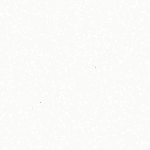 CC(=O)C(C)SC1=C(C(=O)O)N2C(=O)C[C@@H]2S1